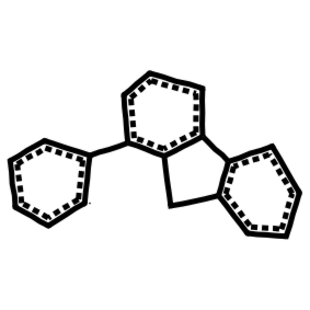 [c]1ccccc1-c1cccc2c1Cc1ccccc1-2